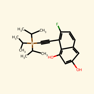 CC(C)S(C#Cc1c(F)ccc2cc(O)cc(O)c12)(C(C)C)C(C)C